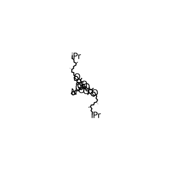 Cc1c(C)c2c(c(C)c1OC(=O)C(OC(=O)CCN1CCCC1)C(=O)Oc1c(C)c(C)c3c(c1C)CC[C@@](C)(CCC[C@H](C)CCC[C@H](C)CCCC(C)C)O3)CC[C@@](C)(CCC[C@H](C)CCC[C@H](C)CCCC(C)C)O2